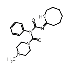 CN1CCN(C(=O)N(C(=O)N=C2CCCCCCN2)c2ccccc2)CC1